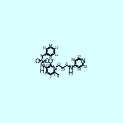 Cc1ccc(NS(=O)(=O)Cc2ccccc2)c(=O)n1CCCNc1ccncc1